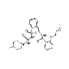 COCCOc1ccccc1C(=O)NCCc1ccccc1S(=O)(=O)NC(=O)NN1CCC(C)CC1